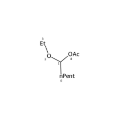 CCCCCC(OCC)OC(C)=O